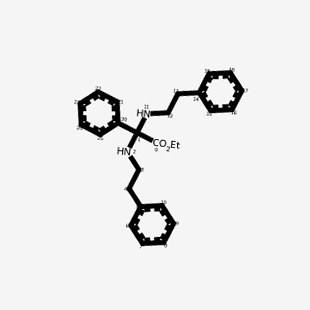 CCOC(=O)C(NCCc1ccccc1)(NCCc1ccccc1)c1ccccc1